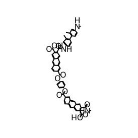 CNC(=O)c1cc2cc3cc(C(=O)Oc4ccc(OC(=O)c5ccc6cc7cc(C(=O)O)c(C(=O)Nc8ccc(-c9ccc(NC)cc9C)c(C)c8)cc7cc6c5)cc4)ccc3cc2cc1C(=O)O